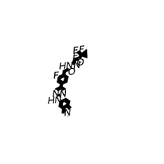 CN1Cc2ccc(Nc3ncc(-c4ccc(CC(=O)Nc5cc(C6(C(F)(F)F)CC6)on5)c(F)c4)cn3)cc2C1